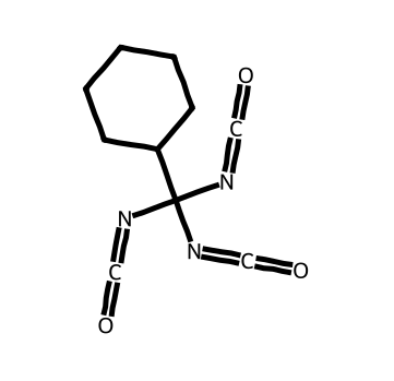 O=C=NC(N=C=O)(N=C=O)C1CCCCC1